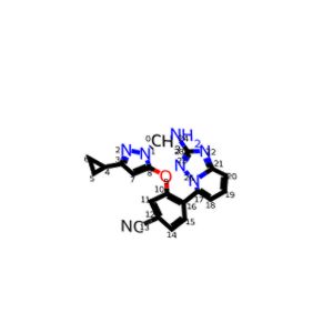 Cn1nc(C2CC2)cc1Oc1cc(C#N)ccc1-c1cccc2nc(N)nn12